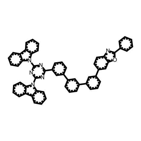 c1ccc(-c2nc3ccc(-c4cccc(-c5cccc(-c6cccc(-c7nc(-n8c9ccccc9c9ccccc98)nc(-n8c9ccccc9c9ccccc98)n7)c6)c5)c4)cc3o2)cc1